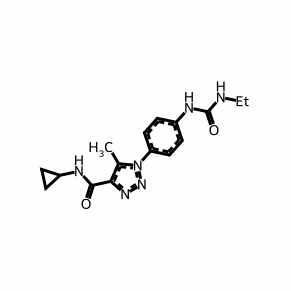 CCNC(=O)Nc1ccc(-n2nnc(C(=O)NC3CC3)c2C)cc1